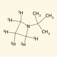 [2H]C1([2H])N(C(C)(C)C)C([2H])([2H])C1([2H])[2H]